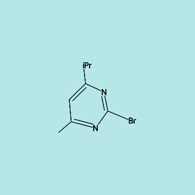 Cc1cc(C(C)C)nc(Br)n1